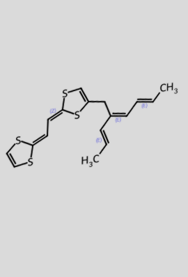 C/C=C/C=C(/C=C/C)CC1=CS/C(=C/C=C2SC=CS2)S1